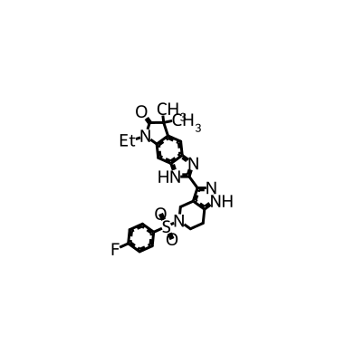 CCN1C(=O)C(C)(C)c2cc3nc(-c4n[nH]c5c4CN(S(=O)(=O)c4ccc(F)cc4)CC5)[nH]c3cc21